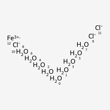 O.O.O.O.O.O.O.O.O.[Cl-].[Cl-].[Cl-].[Fe+3]